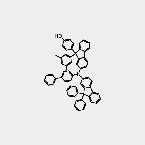 Cc1cc(C)cc(C2(c3ccc(O)cc3)c3ccccc3-c3ccc(N(c4ccc(-c5ccccc5)cc4)c4ccc5c(c4)C(c4ccccc4)(c4ccccc4)c4ccccc4-5)cc32)c1